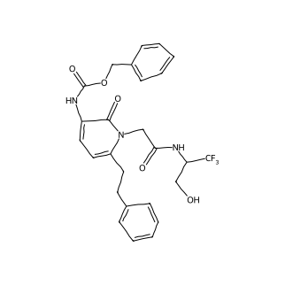 O=C(Cn1c(CCc2ccccc2)ccc(NC(=O)OCc2ccccc2)c1=O)NC(CO)C(F)(F)F